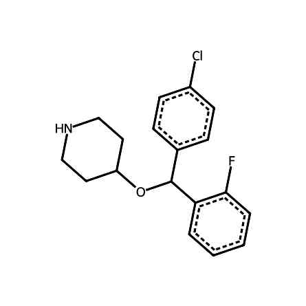 Fc1ccccc1C(OC1CCNCC1)c1ccc(Cl)cc1